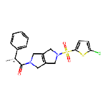 C[C@@H](C(=O)N1CC2=C(C1)CN(S(=O)(=O)c1ccc(Cl)s1)C2)c1ccccc1